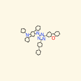 c1ccc(-c2ccc(-c3nc(-c4ccc5c(c4)oc4ccccc45)nc(-n4c5ccccc5c5cc6c(cc54)c4ccccc4n6-c4ccccc4)n3)cc2)cc1